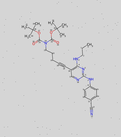 CCCNc1nc(Nc2ccc(C#N)cc2)ncc1C#CCCCN(C(=O)OC(C)(C)C)C(=O)OC(C)(C)C